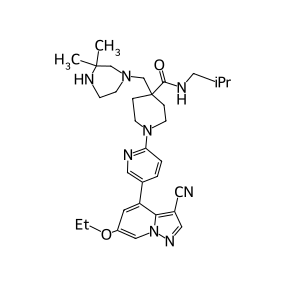 CCOc1cc(-c2ccc(N3CCC(CN4CCNC(C)(C)C4)(C(=O)NCC(C)C)CC3)nc2)c2c(C#N)cnn2c1